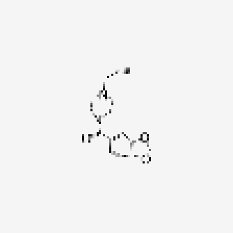 C#CCN1CCN(C(=O)c2ccc3c(c2)OCO3)CC1